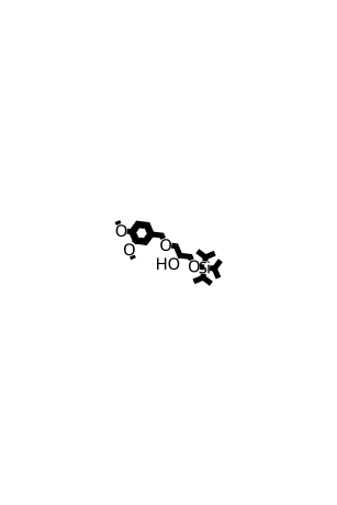 COc1ccc(COC[C@@H](O)CO[Si](C(C)C)(C(C)C)C(C)C)cc1OC